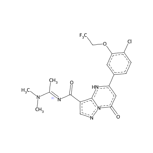 C/C(=N\C(=O)c1cnn2c(=O)cc(-c3ccc(Cl)c(OCC(F)(F)F)c3)[nH]c12)N(C)C